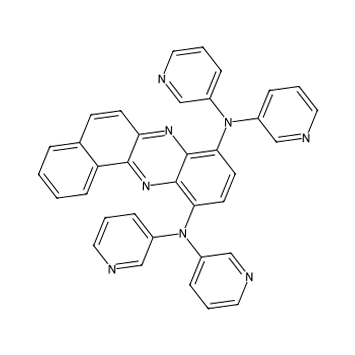 c1cncc(N(c2cccnc2)c2ccc(N(c3cccnc3)c3cccnc3)c3nc4c(ccc5ccccc54)nc23)c1